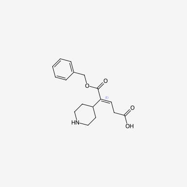 O=C(O)C/C=C(/C(=O)OCc1ccccc1)C1CCNCC1